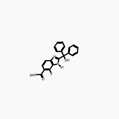 CCn1c(C(O)(c2ccccc2)c2ccccc2)nc2ccc(C(=O)NC)c(F)c21